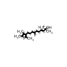 Cc1sc(C)c(C=CC=C(F)C=CC=CC(C)(C)O)c1C